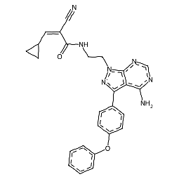 N#C/C(=C/C1CC1)C(=O)NCCn1nc(-c2ccc(Oc3ccccc3)cc2)c2c(N)ncnc21